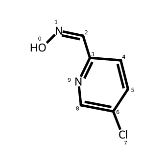 O/N=C\c1ccc(Cl)cn1